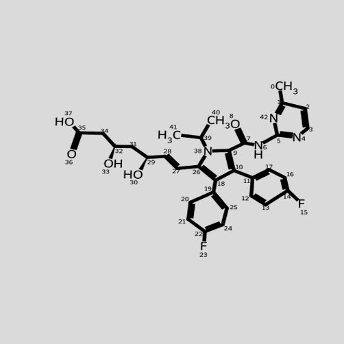 Cc1ccnc(NC(=O)c2c(-c3ccc(F)cc3)c(-c3ccc(F)cc3)c(/C=C/[C@@H](O)C[C@@H](O)CC(=O)O)n2C(C)C)n1